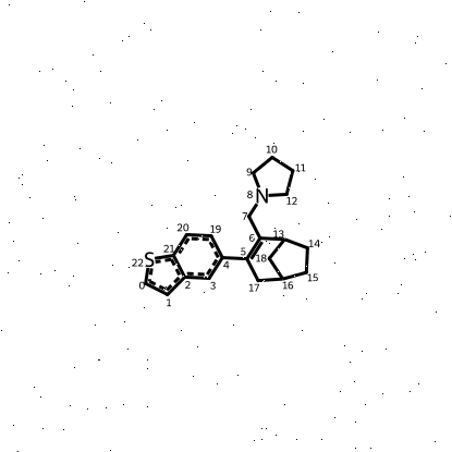 c1cc2cc(C3=C(CN4CCCC4)C4CCC(C3)C4)ccc2s1